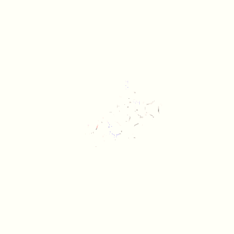 Cc1c2c(nn(OC(=O)C(F)(F)F)[n+]1=O)COc1cc(-c3ccccc3)c(NC3(C)CNC3)cc1-2